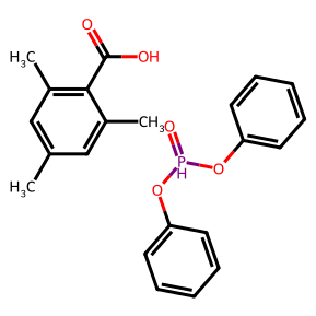 Cc1cc(C)c(C(=O)O)c(C)c1.O=[PH](Oc1ccccc1)Oc1ccccc1